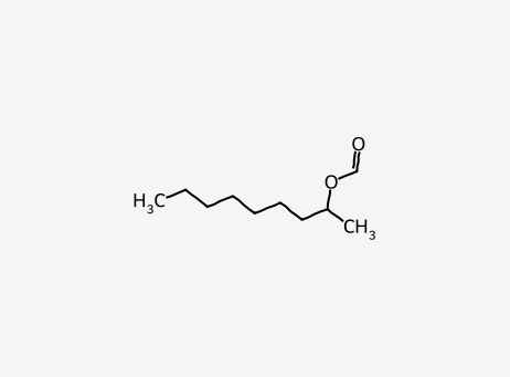 CCCCCCCC(C)OC=O